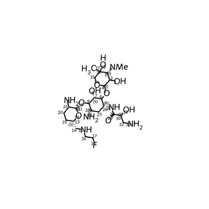 CN[C@@H]1C(O)[C@@H](OC2[C@@H](O)C(O[C@H]3O[C@H](CNCCF)CCC3N)[C@@H](N)C[C@H]2NC(=O)[C@@H](O)CN)OCC1(C)O